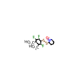 O=C(O)c1c(F)c(F)c(SSc2cccc[n+]2[O-])c(F)c1C(=O)O